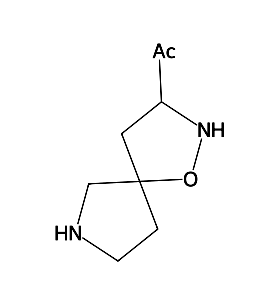 CC(=O)C1CC2(CCNC2)ON1